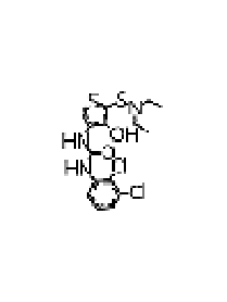 CCN(CC)Sc1scc(NC(=O)Nc2cccc(Cl)c2Cl)c1O